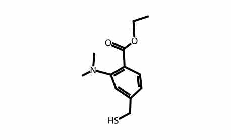 CCOC(=O)c1ccc(CS)cc1N(C)C